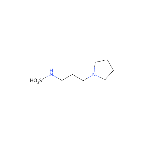 O=S(=O)(O)NCCCN1CCCC1